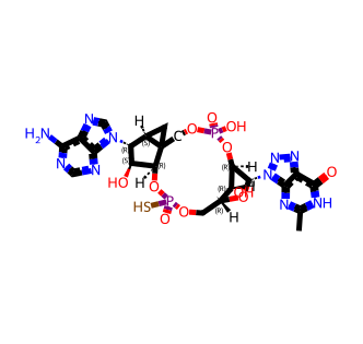 Cc1nc2c(nnn2[C@@H]2O[C@@H]3COP(=O)(S)O[C@H]4[C@@H](O)[C@H](n5cnc6c(N)ncnc65)[C@H]5CC54COP(=O)(O)O[C@@H]2[C@@H]3O)c(=O)[nH]1